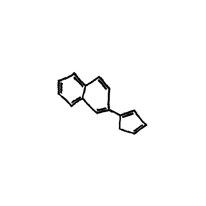 [c]1c(C2=CC=CC2)ccc2ccccc12